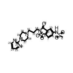 CS(=O)(=O)Nc1ccc2c(c1)C(=O)N(CCCN1CCN(c3ncccn3)CC1)S2(=O)=O